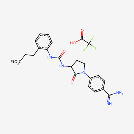 CCOC(=O)CCc1ccccc1NC(=O)NC1CCN(c2ccc(C(=N)N)cc2)C1=O.O=C(O)C(F)(F)F